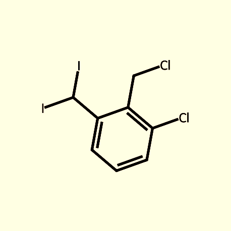 ClCc1c(Cl)cccc1C(I)I